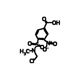 CN(CCl)S(=O)(=O)c1ccc(C(=O)O)cc1[N+](=O)[O-]